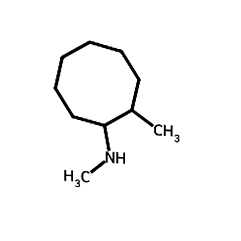 CNC1CCCCCCC1C